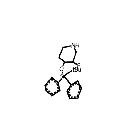 CC(C)(C)[Si](OC1CCNCC1F)(c1ccccc1)c1ccccc1